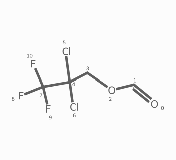 O=[C]OCC(Cl)(Cl)C(F)(F)F